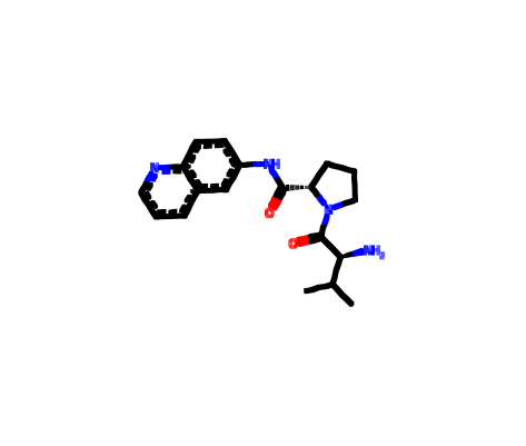 CC(C)[C@H](N)C(=O)N1CCC[C@H]1C(=O)Nc1ccc2ncccc2c1